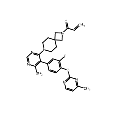 C=CC(=O)N1CC2(CCN(c3ncnc(N)c3-c3ccc(Oc4nccc(C)n4)c(F)c3)CC2)C1